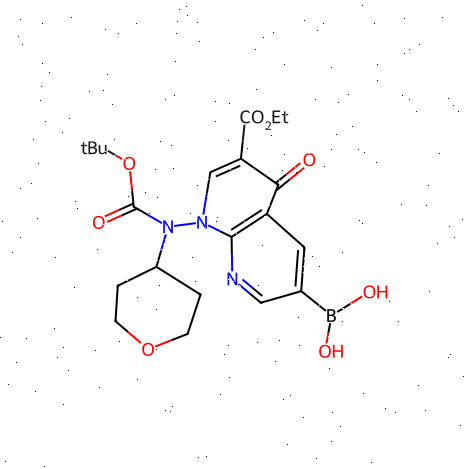 CCOC(=O)c1cn(N(C(=O)OC(C)(C)C)C2CCOCC2)c2ncc(B(O)O)cc2c1=O